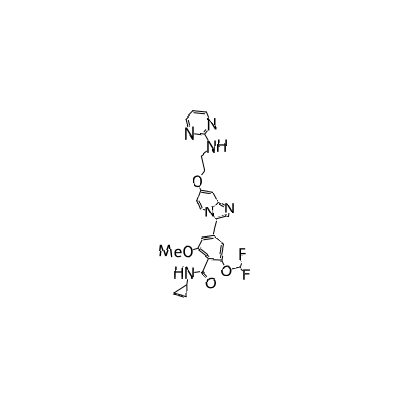 COc1cc(-c2cnc3cc(OCCNc4ncccn4)ccn23)cc(OC(F)F)c1C(=O)NC1CC1